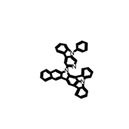 c1ccc(-n2c3ccccc3c3cc(-n4c5cc6ccccc6cc5c5cc6c7ccccc7n7c8ccccc8c(c54)c67)ncc32)cc1